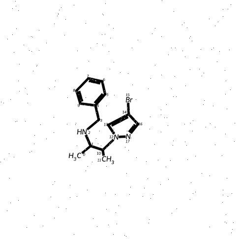 CC(NCc1ccccc1)C(C)n1cc(Br)cn1